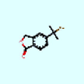 CC(C)(S)c1ccc2c(c1)COC2=O